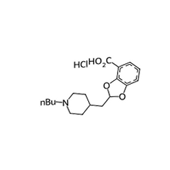 CCCCN1CCC(CC2Oc3cccc(C(=O)O)c3O2)CC1.Cl